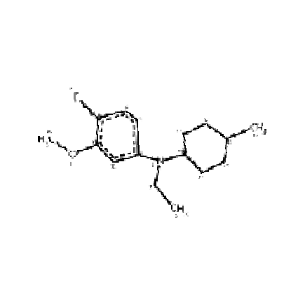 CCN(c1ccc(F)c(OC)c1)C1CCC(C)CC1